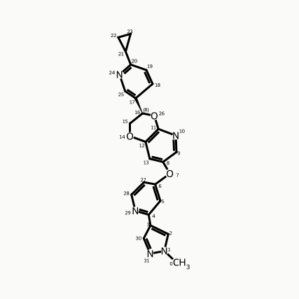 Cn1cc(-c2cc(Oc3cnc4c(c3)OC[C@@H](c3ccc(C5CC5)nc3)O4)ccn2)cn1